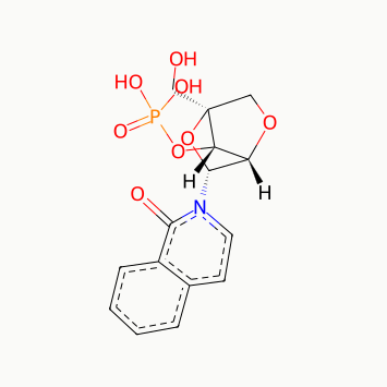 O=c1c2ccccc2ccn1[C@@H]1O[C@@]2(CO)CO[C@H]1[C@@H]2OP(=O)(O)O